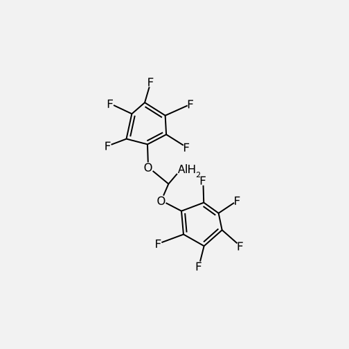 Fc1c(F)c(F)c(O[CH]([AlH2])Oc2c(F)c(F)c(F)c(F)c2F)c(F)c1F